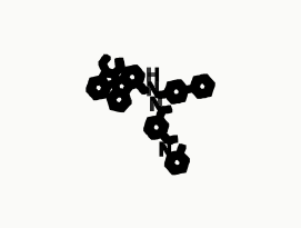 C=CC1=C(CC)c2ccccc2C12c1ccccc1-c1c(CNC(/N=C(\C)c3cccc(/C(C)=N/c4ccccc4C)c3)c3ccc(-c4ccccc4)cc3)cccc12